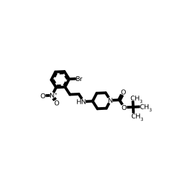 CC(C)(C)OC(=O)N1CCC(NCCc2c(Br)cccc2[N+](=O)[O-])CC1